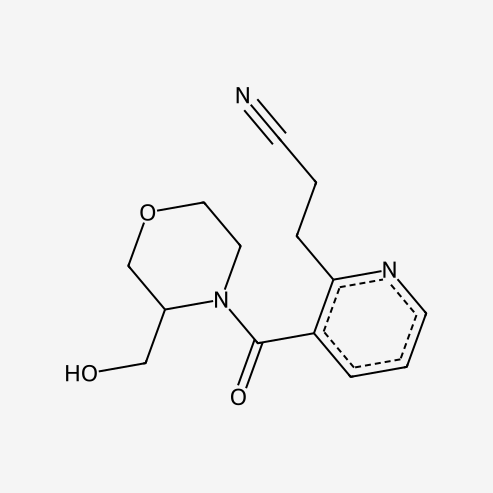 N#CCCc1ncccc1C(=O)N1CCOCC1CO